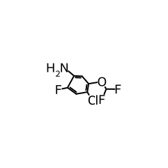 Nc1cc(OC(F)F)c(Cl)cc1F